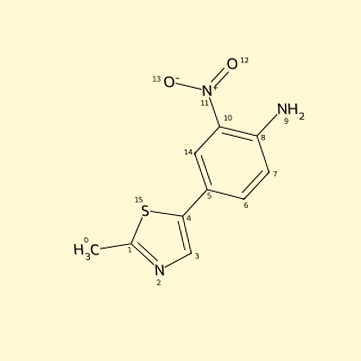 Cc1ncc(-c2ccc(N)c([N+](=O)[O-])c2)s1